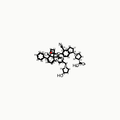 Cn1cc(CN2CC[C@@H](O)C2)nc1SC1(C2(COc3ccc4c(c3C#N)CC[C@H]4N3CC[C@@H](C(=O)O)C3)C=CC=C(c3ccccc3)C2(C)Cl)CCC1